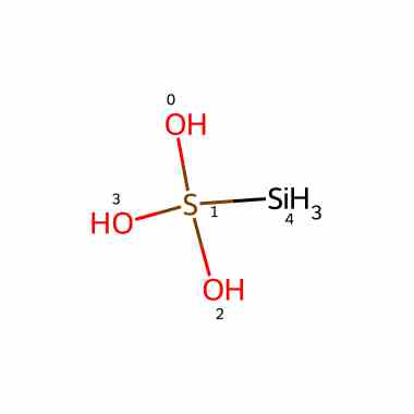 OS(O)(O)[SiH3]